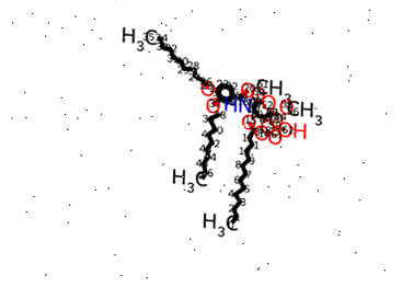 CCCCCCCCCCCCCC(=O)O[C@@H]1[C@H](NC(=O)c2ccc(OCCCCCCCCCC)c(OCCCCCCCCCC)c2)[C@@H](OC)O[C@H](COC)[C@H]1OS(=O)(=O)O